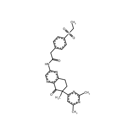 CCS(=O)(=O)c1ccc(CC(=O)Nc2cnc3c(n2)CCC(C)(c2cc(C)nc(C)n2)C3=O)cc1